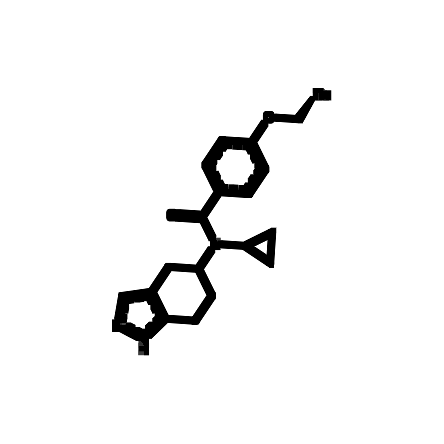 CC[C@H](C)COc1ccc(C(=O)N(C2CC2)C2CCc3[nH]ncc3C2)cc1